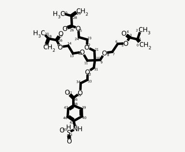 C=C(C)C(=O)OCCOCC(COCCOC(=O)C(=C)C)(COCCOC(=O)C(=C)C)COCCOC(=O)c1ccc(N[SH](=O)=O)cc1